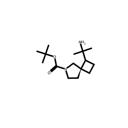 CC(C)(C)OC(=O)N1CC[C@@]2(CCC2C(C)(C)N)C1